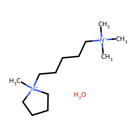 C[N+](C)(C)CCCCC[N+]1(C)CCCC1.O